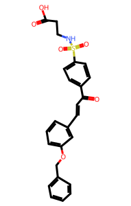 O=C(O)CCNS(=O)(=O)c1ccc(C(=O)/C=C/c2cccc(OCc3ccccc3)c2)cc1